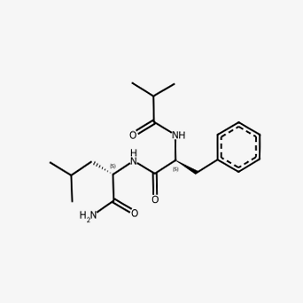 CC(C)C[C@H](NC(=O)[C@H](Cc1ccccc1)NC(=O)C(C)C)C(N)=O